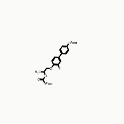 CCCCCC(=O)OC(C)COc1ccc(-c2ccc(CCCCC)cc2)cc1F